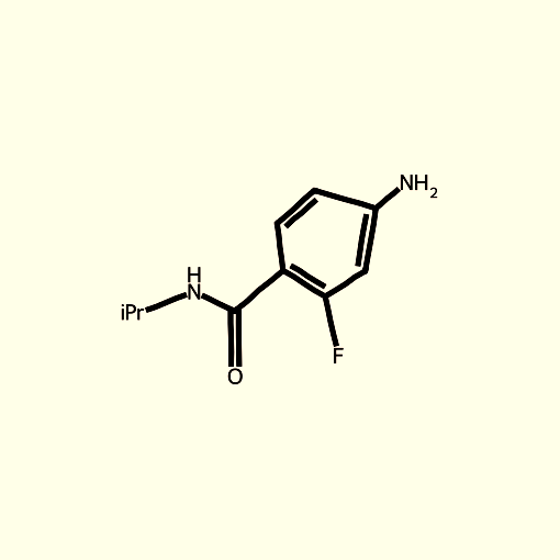 CC(C)NC(=O)c1ccc(N)cc1F